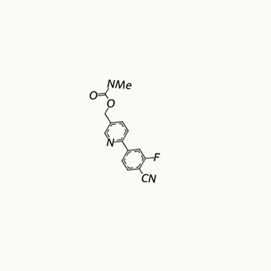 CNC(=O)OCc1ccc(-c2ccc(C#N)c(F)c2)nc1